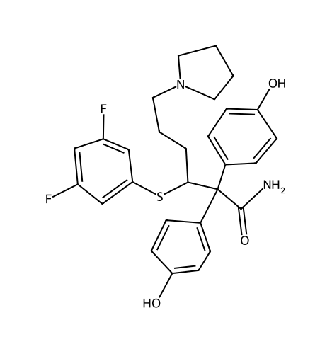 NC(=O)C(c1ccc(O)cc1)(c1ccc(O)cc1)C(CCCN1CCCC1)Sc1cc(F)cc(F)c1